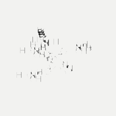 C[N+](C)(C)CCCCOc1cc(OCCCC[N+](C)(C)C)cc(-c2cc3cccnc3nc2-c2cc(OCCCC[N+](C)(C)C)cc(OCCCC[N+](C)(C)C)c2)c1.[Br-].[Br-].[Br-].[Br-]